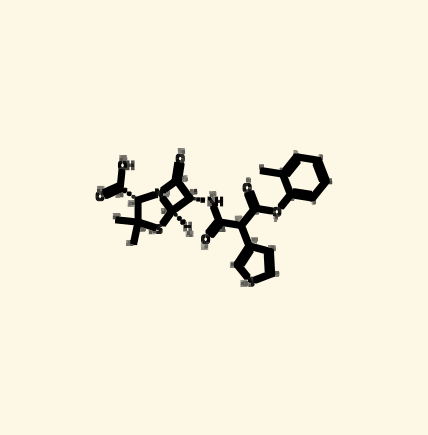 Cc1ccccc1OC(=O)C(C(=O)N[C@H]1C(=O)N2[C@@H]1SC(C)(C)[C@@H]2C(=O)O)c1ccsc1